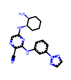 N#Cc1ncc(N[C@@H]2CCCC[C@@H]2N)nc1Nc1cccc(-n2nccn2)c1